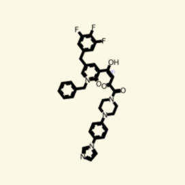 O=C(/C=C(/O)c1cc(Cc2cc(F)c(F)c(F)c2)cn(Cc2ccccc2)c1=O)C(=O)N1CCN(c2ccc(-n3ccnc3)cc2)CC1